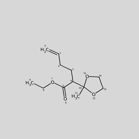 C=CCCC(C(=O)OCC)C1(C)OCCO1